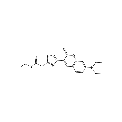 CCOC(=O)Cc1nc(-c2cc3ccc(N(CC)CC)cc3oc2=O)cs1